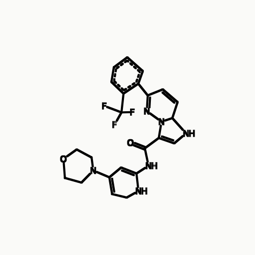 O=C(NC1=CC(N2CCOCC2)=CCN1)C1=CNC2C=CC(c3ccccc3C(F)(F)F)=NN12